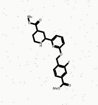 COC(=O)c1ccc(COc2cccc(C3CC(C(=O)OC(C)(C)C)CCN3)n2)c(F)c1